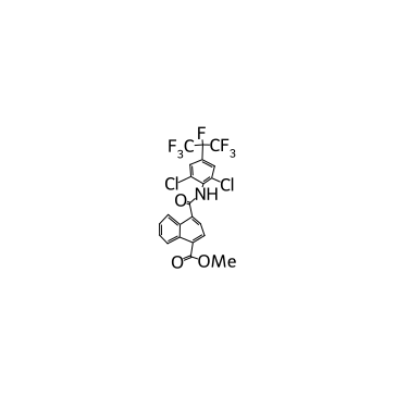 COC(=O)c1ccc(C(=O)Nc2c(Cl)cc(C(F)(C(F)(F)F)C(F)(F)F)cc2Cl)c2ccccc12